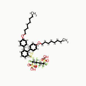 CCCCCCCCOc1ccc(-c2cccc(S)c2-c2ccc(OCCCCCCCC)cc2)cc1.O=S(=O)(O)C(F)(F)C(F)(F)C(F)(F)C(F)(F)S(=O)(=O)O